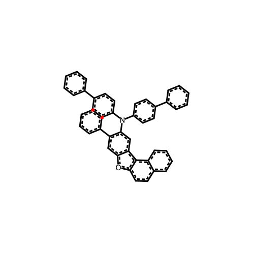 c1ccc(-c2ccc(N(c3ccc(-c4ccccc4)cc3)c3cc4c(cc3-c3ccccc3)oc3ccc5ccccc5c34)cc2)cc1